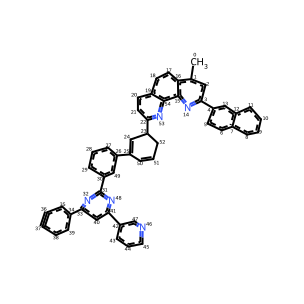 Cc1cc(-c2ccc3ccccc3c2)nc2c1ccc1ccc(C3C=C(c4cccc(-c5nc(-c6cc#ccc6)cc(-c6cccnc6)n5)c4)C=CC3)nc12